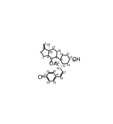 C=C1CCC2[C@H](OC(C)=O)C([C@@]3(C)CC[C@H](O)C[C@@H]3C/C=C\c3ccc(Cl)cc3)CC[C@]12C